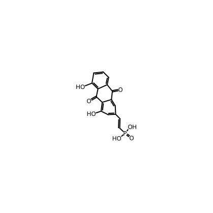 O=C1c2cccc(O)c2C(=O)c2c(O)cc(C=CP(=O)(O)O)cc21